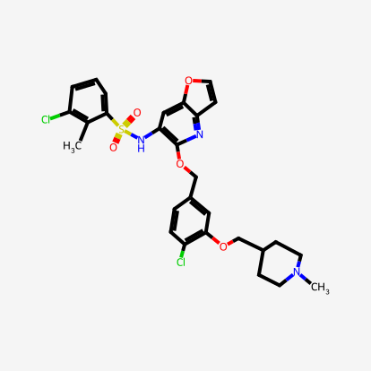 Cc1c(Cl)cccc1S(=O)(=O)Nc1cc2occc2nc1OCc1ccc(Cl)c(OCC2CCN(C)CC2)c1